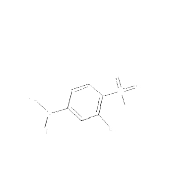 CCc1cc(N(Cl)Cl)ccc1S(=O)(=O)Cl